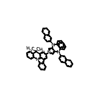 CC1(C)c2ccccc2-n2c3ccccc3c3cc(-n4cc(N(c5ccccc5)c5ccc6ccccc6c5)c(N(c5ccccc5)c5ccc6ccccc6c5)c4)cc1c32